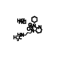 CNCCCN1c2cccnc2N(c2ccccc2)S1(=O)=O.Cl.Cl